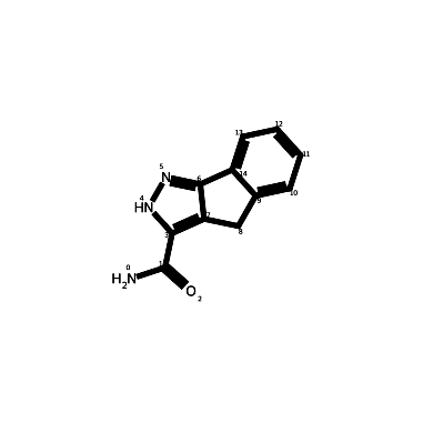 NC(=O)c1[nH]nc2c1Cc1ccccc1-2